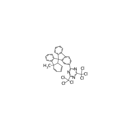 CC12C=CC=CC1C1(c3ccccc3-c3ccc(-c4nc(C(Cl)(Cl)Cl)nc(C(Cl)(Cl)Cl)n4)cc31)c1ccccc12